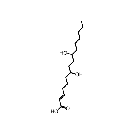 CCCCCCC(O)CCC(O)CCCC=CC(=O)O